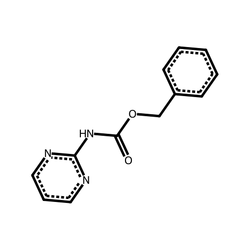 O=C(Nc1ncccn1)OCc1ccccc1